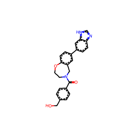 O=C(c1ccc(CO)cc1)N1CCOc2ccc(-c3ccc4nc[nH]c4c3)cc2C1